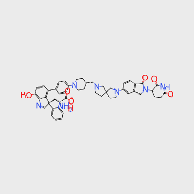 N[C@@H](C[C@@]1(c2ccccc2)C=Nc2c(O)ccc(-c3ccc(N4CCC(CN5CCC6(CCN(c7ccc8c(c7)CN(C7CCC(=O)NC7=O)C8=O)C6)C5)CC4)cc3)c21)C(=O)O